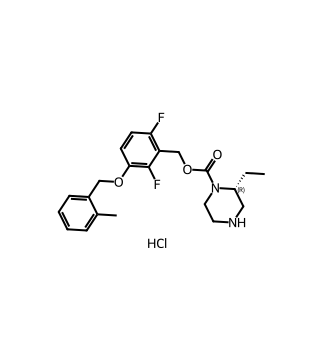 CC[C@@H]1CNCCN1C(=O)OCc1c(F)ccc(OCc2ccccc2C)c1F.Cl